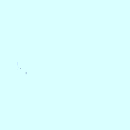 [CH2]CCNC(=O)CCCCCCCCCCCCCCCCCCCCCCCCC